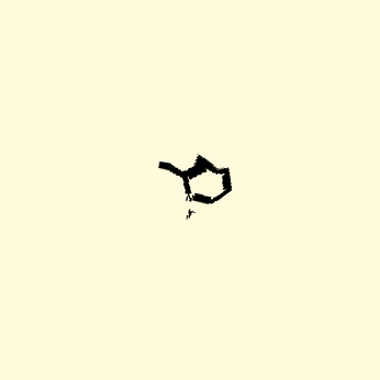 Cc1ccccn1.[Ir]